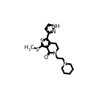 CSc1sc(-c2cc[nH]n2)c2c1C(=O)N(CCN1CCCCC1)CC2